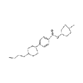 CCCCC1CCC(c2ccc(C(=O)OC3CCC(C)CC3)cc2)CC1